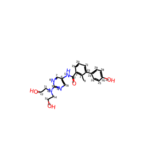 Cc1c(C(=O)Nc2cnc(N(CCO)CCO)nc2)cccc1-c1ccc(O)cc1